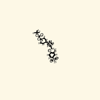 CC(C)(C)OC(=O)ON1CCC(n2nnc(COc3ccc(S(C)(=O)=O)cc3F)n2)CC1